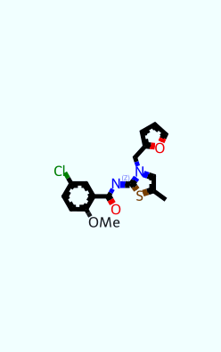 COc1ccc(Cl)cc1C(=O)/N=c1\sc(C)cn1Cc1ccco1